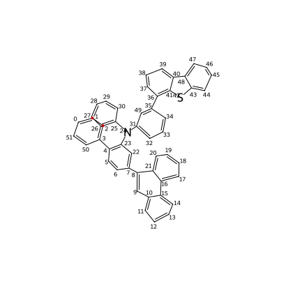 c1ccc(-c2ccc(-c3cc4ccccc4c4ccccc34)cc2N(c2ccccc2)c2cccc(-c3cccc4c3sc3ccccc34)c2)cc1